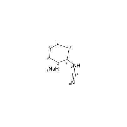 N#CNC1CCCCC1.[NaH]